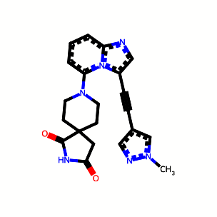 Cn1cc(C#Cc2cnc3cccc(N4CCC5(CC4)CC(=O)NC5=O)n23)cn1